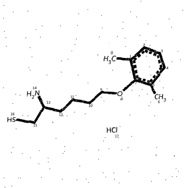 Cc1cccc(C)c1OCCCCC(N)CS.Cl